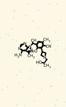 COc1c(C(C)n2nc(C)c3c(N)ncnc32)cc(C)c(C#N)c1C1CN(CC(C)O)C1